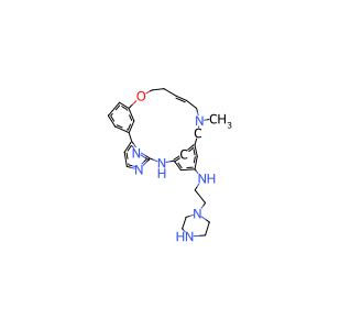 CN1C/C=C/CCOc2cccc(c2)-c2ccnc(n2)Nc2cc(cc(NCCN3CCNCC3)c2)C1